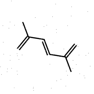 C=C(C)/C=C/C(=C)C